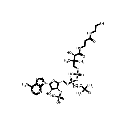 CC(C)(COP(=O)(O)OP(=O)(O)OC[C@H]1O[C@@H](n2cnc3c(N)ncnc32)[C@H](O)[C@@H]1OP(=O)(O)O)[C@@H](O)C(=O)NCCC(=O)NCCS.CCC(C)(C)C(=O)O